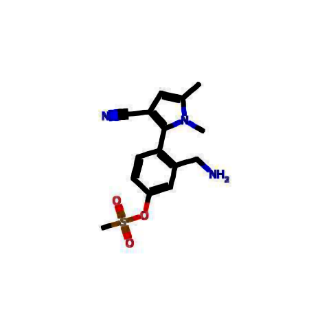 Cc1cc(C#N)c(-c2ccc(OS(C)(=O)=O)cc2CN)n1C